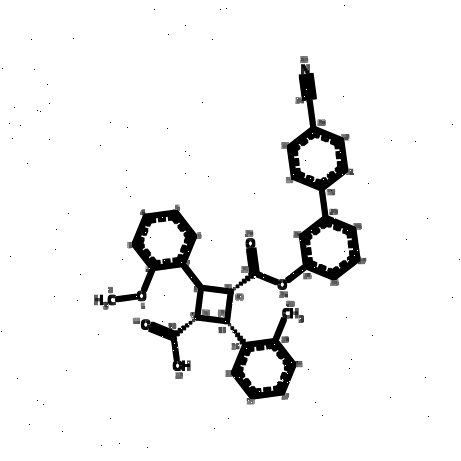 COc1ccccc1C1[C@@H](C(=O)O)[C@@H](c2ccccc2C)[C@H]1C(=O)Oc1cccc(-c2ccc(C#N)cc2)c1